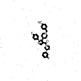 N#Cc1ccc(CN2CCC(c3c(C(=O)N4CC[C@H](c5cccc(F)c5)C4)cnn3-c3ccc(F)cc3)CC2)cc1